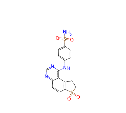 NS(=O)(=O)c1ccc(Nc2ncnc3ccc4c(c23)CCS4(=O)=O)cc1